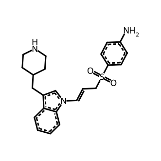 Nc1ccc(S(=O)(=O)CC=Cn2cc(CC3CCNCC3)c3ccccc32)cc1